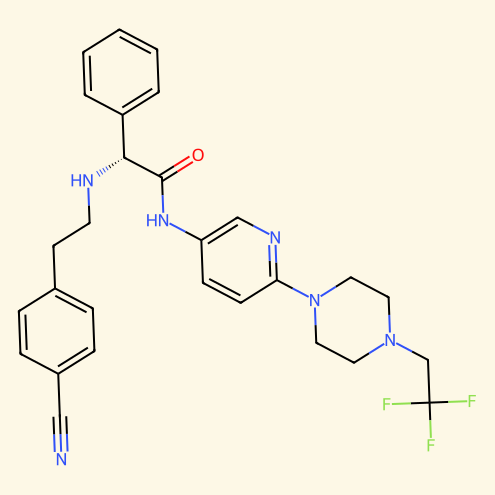 N#Cc1ccc(CCN[C@@H](C(=O)Nc2ccc(N3CCN(CC(F)(F)F)CC3)nc2)c2ccccc2)cc1